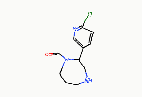 O=CN1CCCNCC1c1ccc(Cl)nc1